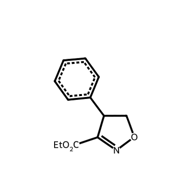 CCOC(=O)C1=NOCC1c1ccccc1